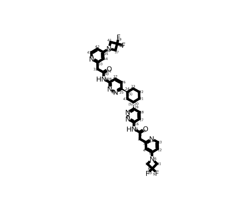 O=C(Cc1cc(N2CC(F)(F)C2)ccn1)Nc1ccc([C@H]2CCC[C@H](c3ccc(NC(=O)Cc4cc(N5CC(F)(F)C5)ccn4)nn3)C2)nn1